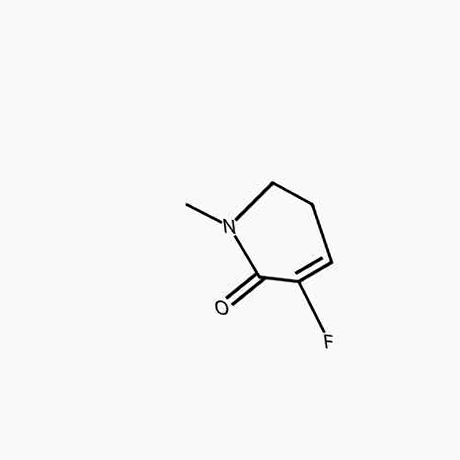 CN1CCC=C(F)C1=O